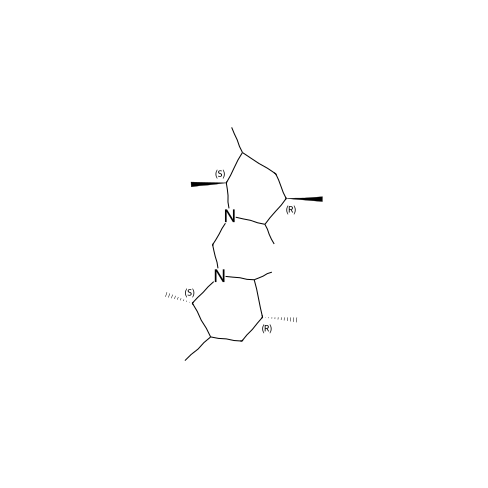 CC1C[C@@H](C)C(C)N(CN2C(C)[C@H](C)CC(C)[C@@H]2C)[C@H]1C